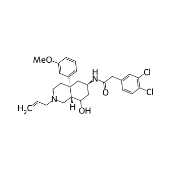 C=CCN1CC[C@@]2(c3cccc(OC)c3)C[C@@H](NC(=O)Cc3ccc(Cl)c(Cl)c3)CC(O)[C@@H]2C1